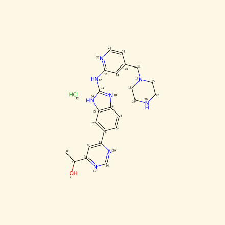 CC(O)c1cc(-c2ccc3nc(Nc4cc(CN5CCNCC5)ccn4)[nH]c3c2)ncn1.Cl